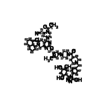 C=CC(=O)N1CCN(c2nc(OC[C@@H]3C[C@H](N4CCN(C(=O)C5CCN(Cc6ccc(-n7c(O)nnc7-c7cc(C)c(O)cc7O)cc6)CC5)CC4)CN3C)nc3c2CCN(c2cccc4cccc(Cl)c24)C3)C[C@@H]1CC#N